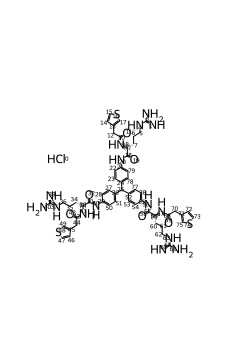 Cl.N=C(N)NCCC[C@@H](NC(=O)Cc1ccsc1)C(=O)Nc1ccc(C(c2ccc(NC(=O)[C@@H](CCCNC(=N)N)NC(=O)Cc3ccsc3)cc2)c2ccc(NC(=O)[C@@H](CCCNC(=N)N)NC(=O)Cc3ccsc3)cc2)cc1